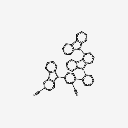 N#Cc1ccc2c(c1)c1ccccc1n2-c1ccc(-c2ccccc2-n2c3ccccc3c3c(-n4c5ccccc5c5ccccc54)cccc32)c(C#N)c1